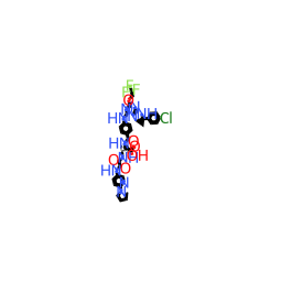 O=C(NC[C@H](NC(=O)c1ccc(Nc2nc(NC3(c4ccc(Cl)cc4)CC3)nc(OCC(F)(F)F)n2)cc1)C(=O)O)C(=O)Nc1ccc(N2CCCC2)nc1